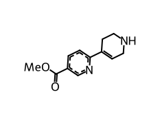 COC(=O)c1ccc(C2=CCNCC2)nc1